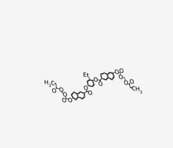 C=CC(=O)OCOC(=O)Oc1ccc2cc(C(=O)Oc3ccc(OC(=O)c4ccc5cc(OC(=O)OCOC(=O)C=C)ccc5c4)c(CC)c3)ccc2c1